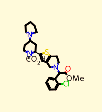 COC(=O)C(c1ccccc1Cl)N1CCc2sc([C@@H]3CC(N4CCCCC4)CCN3C(=O)O)cc2C1